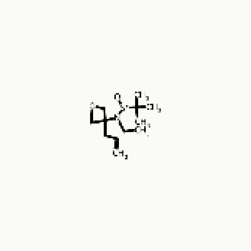 C=CCC1(N(CC)[S+]([O-])C(C)(C)C)COC1